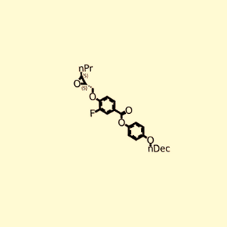 CCCCCCCCCCOc1ccc(OC(=O)c2ccc(OC[C@@H]3O[C@H]3CCC)c(F)c2)cc1